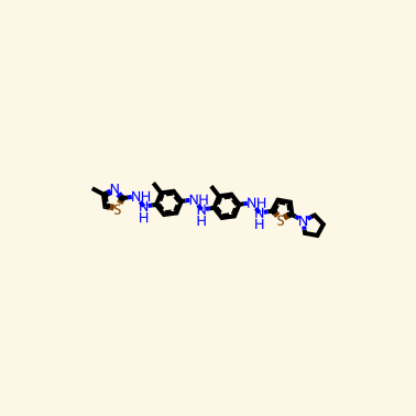 Cc1csc(NNc2ccc(NNc3ccc(NNc4ccc(N5CCCC5)s4)cc3C)cc2C)n1